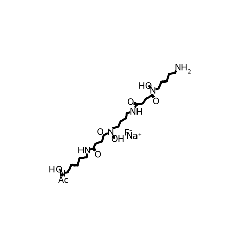 CC(=O)N(O)CCCCCNC(=O)CCC(=O)N(O)CCCCCNC(=O)CCC(=O)N(O)CCCCCN.[F-].[Na+]